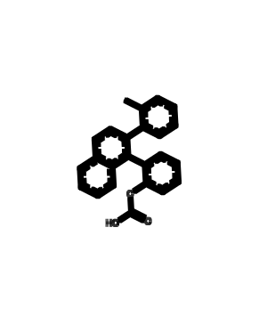 Cc1ccccc1-c1ccc2ccccc2c1-c1ccccc1OC(=O)O